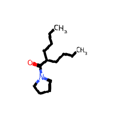 CCCCC(CCCC)C(=O)N1CCCC1